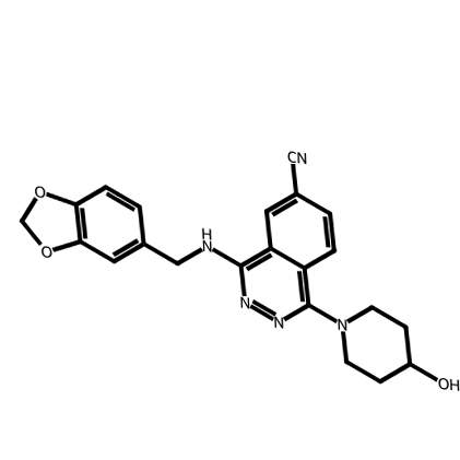 N#Cc1ccc2c(N3CCC(O)CC3)nnc(NCc3ccc4c(c3)OCO4)c2c1